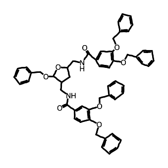 O=C(NCC1CC(CNC(=O)c2ccc(OCc3ccccc3)c(OCc3ccccc3)c2)C(OCc2ccccc2)O1)c1ccc(OCc2ccccc2)c(OCc2ccccc2)c1